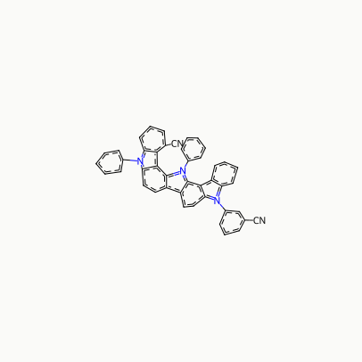 N#Cc1cccc(-n2c3ccccc3c3c2ccc2c4ccc5c(c6c(C#N)cccc6n5-c5ccccc5)c4n(-c4ccccc4)c23)c1